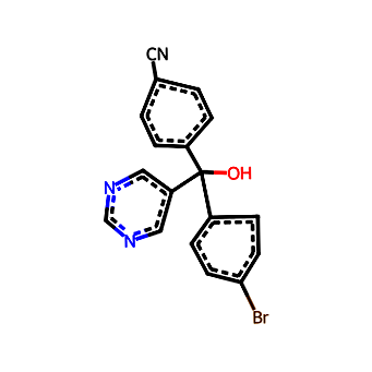 N#Cc1ccc(C(O)(c2ccc(Br)cc2)c2cncnc2)cc1